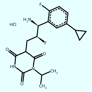 CC(C)N1C(=O)NC(=O)C(C[C@H](F)[C@@H](N)c2cc(C3CC3)ccc2F)C1=O.Cl